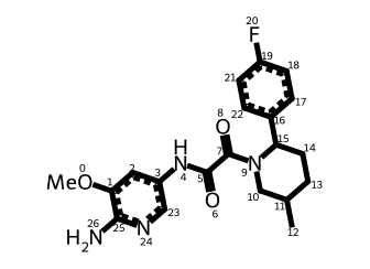 COc1cc(NC(=O)C(=O)N2CC(C)CCC2c2ccc(F)cc2)cnc1N